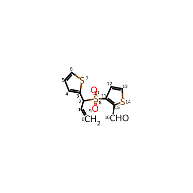 C=CC(c1cccs1)S(=O)(=O)c1ccsc1C=O